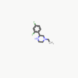 CCN1CCNC(c2ccc(F)cc2F)C1